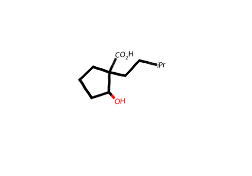 CC(C)CCC1(C(=O)O)CCCC1O